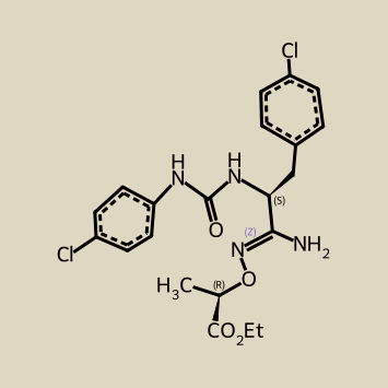 CCOC(=O)[C@@H](C)O/N=C(\N)[C@H](Cc1ccc(Cl)cc1)NC(=O)Nc1ccc(Cl)cc1